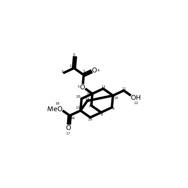 C=C(C)C(=O)OC12CC3CC(CO)(C1)CC(C(=O)OC)(C3)C2